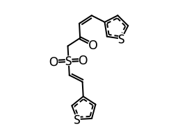 O=C(/C=C\c1ccsc1)CS(=O)(=O)C=Cc1ccsc1